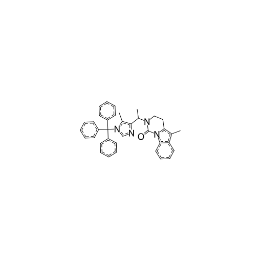 Cc1c2n(c3ccccc13)C(=O)N(C(C)c1ncn(C(c3ccccc3)(c3ccccc3)c3ccccc3)c1C)CC2